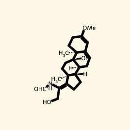 COC1=CC2=CC[C@H]3[C@@H]4CCC(=C(CO)NC=O)[C@@]4(C)CC[C@]3(O)[C@@]2(C)CC1